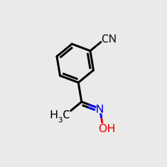 CC(=NO)c1cccc(C#N)c1